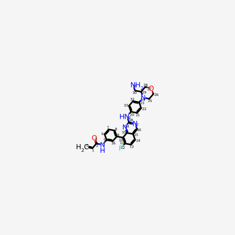 C=CC(=O)Nc1cccc(-c2c(F)ccc3cnc(Nc4ccc(N5CCOCC5CN)cc4)nc23)c1